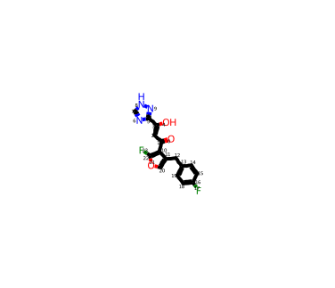 O=C(C=C(O)c1nc[nH]n1)c1c(Cc2ccc(F)cc2)coc1F